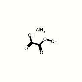 O=C(O)C(=O)OO.[AlH3]